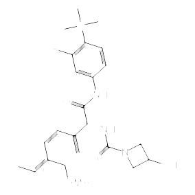 C=C(/C=C\C(=C/C)COC)[C@@H](NC(=O)N1CC(O)C1)C(=O)Nc1ccc([Si](C)(C)C)c(F)c1